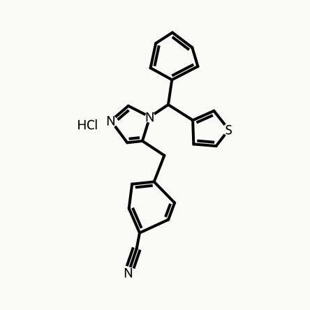 Cl.N#Cc1ccc(Cc2cncn2C(c2ccccc2)c2ccsc2)cc1